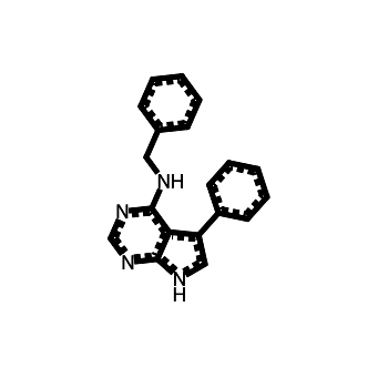 c1ccc(CNc2ncnc3[nH]cc(-c4ccccc4)c23)cc1